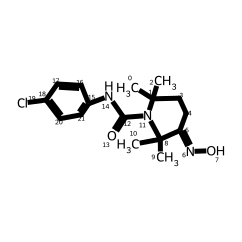 CC1(C)CCC(=NO)C(C)(C)N1C(=O)Nc1ccc(Cl)cc1